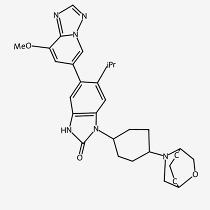 COc1cc(-c2cc3[nH]c(=O)n(C4CCC(N5CC6CCCC5CO6)CC4)c3cc2C(C)C)cn2ncnc12